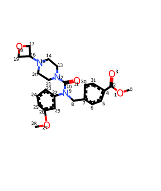 COC(=O)c1ccc(CN(C(=O)N2CCN(C3COC3)CC2)c2cccc(OC)c2)cc1